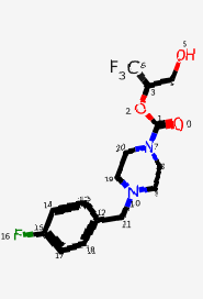 O=C(OC(CO)C(F)(F)F)N1CCN(Cc2ccc(F)cc2)CC1